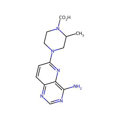 CC1CN(c2ccc3ncnc(N)c3n2)CCN1C(=O)O